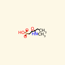 CCC1(NC)OC1CS(=O)(=O)O